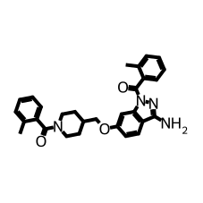 Cc1ccccc1C(=O)N1CCC(COc2ccc3c(N)nn(C(=O)c4ccccc4C)c3c2)CC1